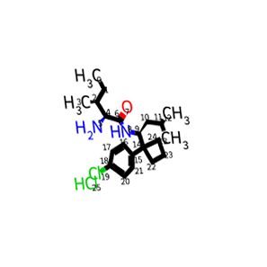 CC[C@H](C)[C@H](N)C(=O)N[C@@H](CC(C)C)C1(c2ccc(Cl)cc2)CCC1.Cl